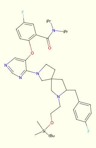 CC(C)N(C(=O)c1cc(F)ccc1Oc1cncnc1N1CCC2(CC(Cc3ccc(F)cc3)N(CCO[Si](C)(C)C(C)(C)C)C2)C1)C(C)C